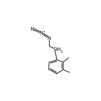 Cc1cccc([SiH2]CN=[N+]=[N-])c1C